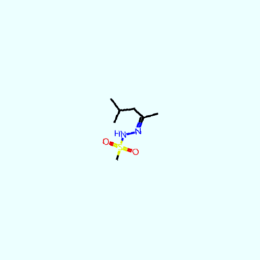 CC(CC(C)C)=NNS(C)(=O)=O